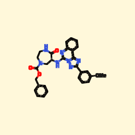 COc1cccc(-c2nc3c4ccccc4nc(NC4CN(C(=O)OCc5ccccc5)CCNC4=O)n3n2)c1